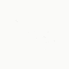 [NH]CCCC(=O)ON1C(=O)CCC1=O